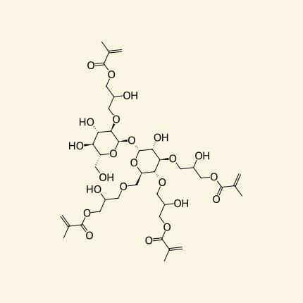 C=C(C)C(=O)OCC(O)COC[C@H]1O[C@H](O[C@H]2O[C@H](CO)[C@@H](O)[C@H](O)[C@H]2OCC(O)COC(=O)C(=C)C)[C@H](O)[C@@H](OCC(O)COC(=O)C(=C)C)[C@@H]1OCC(O)COC(=O)C(=C)C